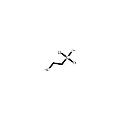 CC[Si](CC)(CC)CCO